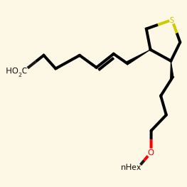 CCCCCCOCCCC[C@@H]1CSC[C@@H]1CC=CCCCC(=O)O